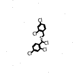 Clc1ccc(CSC(Cl)c2ccc(Cl)cc2Cl)c(Cl)c1